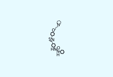 O=C(Nc1ccccc1)Nc1ccc(-c2csc(-c3ccc(OCCCN4CCCCC4)cc3)n2)cc1